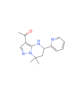 CC(=O)c1cnn2c1NC(c1ccccn1)CC2(C)C